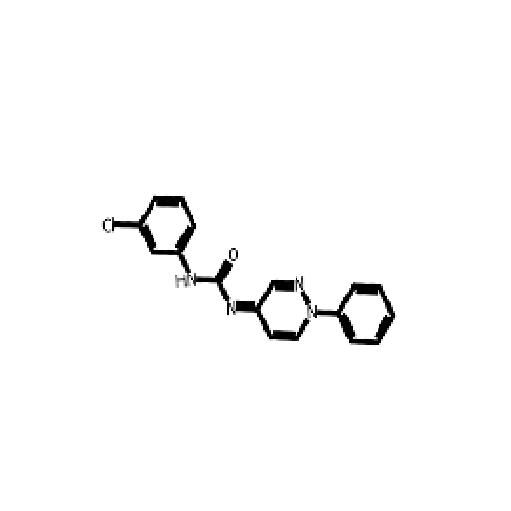 O=C(N=c1ccn(-c2ccccc2)nc1)Nc1cccc(Cl)c1